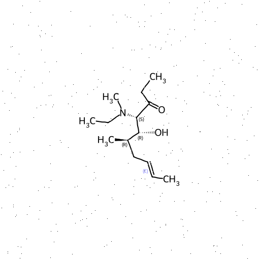 C/C=C/C[C@@H](C)[C@@H](O)[C@@H](C(=O)CC)N(C)CC